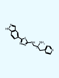 N[C@H](CNc1nnc(-c2ccc3[nH]ncc3c2)s1)Cc1ccncc1